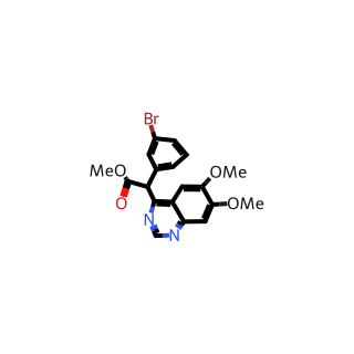 COC(=O)C(c1cccc(Br)c1)c1ncnc2cc(OC)c(OC)cc12